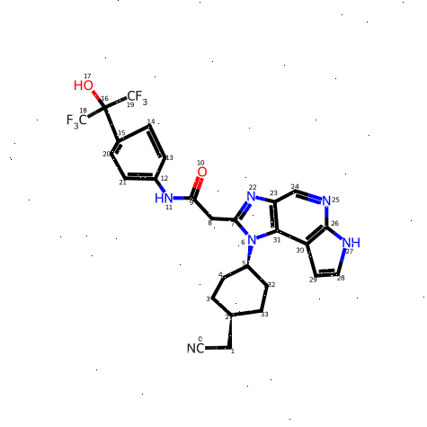 N#CC[C@H]1CC[C@@H](n2c(CC(=O)Nc3ccc(C(O)(C(F)(F)F)C(F)(F)F)cc3)nc3cnc4[nH]ccc4c32)CC1